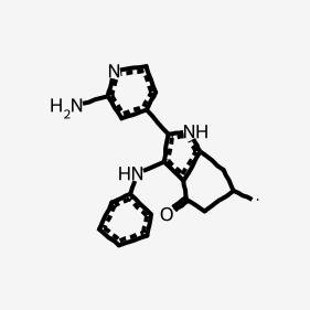 [CH2]C1CC(=O)c2c([nH]c(-c3ccnc(N)c3)c2Nc2ccccc2)C1